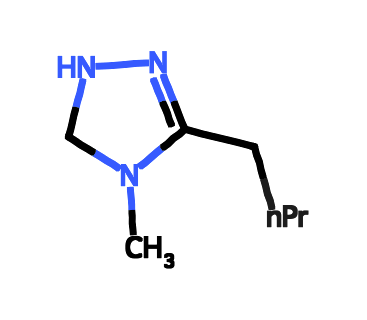 CCCCC1=NNCN1C